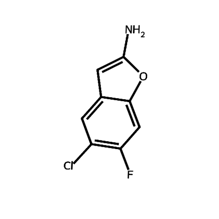 Nc1cc2cc(Cl)c(F)cc2o1